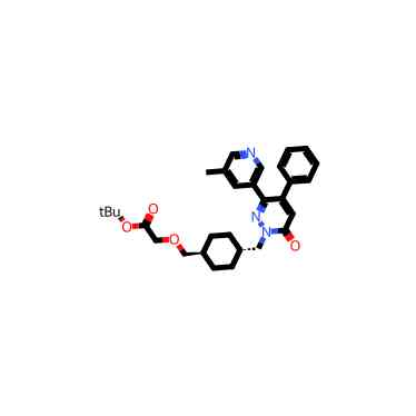 Cc1cncc(-c2nn(C[C@H]3CC[C@H](COCC(=O)OC(C)(C)C)CC3)c(=O)cc2-c2ccccc2)c1